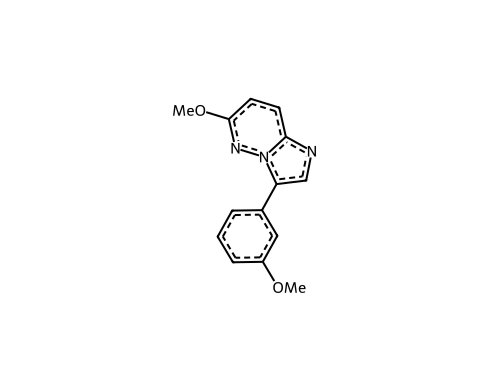 COc1cccc(-c2cnc3ccc(OC)nn23)c1